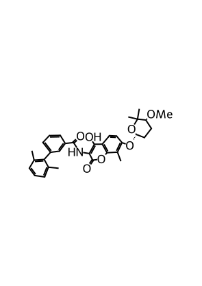 CO[C@@H]1CC[C@H](Oc2ccc3c(O)c(NC(=O)c4cccc(-c5c(C)cccc5C)c4)c(=O)oc3c2C)OC1(C)C